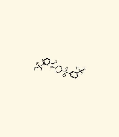 O=C(N[C@H]1CC[C@@H](S(=O)(=O)c2cccc(C(F)(F)F)c2)CC1)c1ccnc(C(F)(F)F)c1